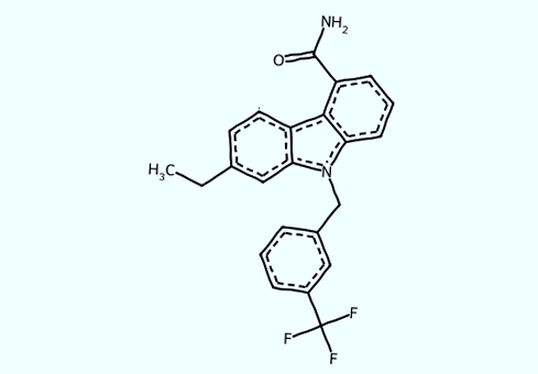 CCc1c[c]c2c3c(C(N)=O)cccc3n(Cc3cccc(C(F)(F)F)c3)c2c1